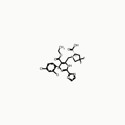 CCOC(=O)C1=C(CN2CC(F)(F)C[C@H]2C(=O)O)NC(c2nccs2)=N[C@H]1c1ccc(Cl)cc1Cl